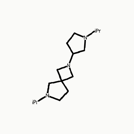 CC(C)N1CCC(N2CC3(CCN(C(C)C)C3)C2)C1